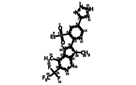 CCS(=O)(=O)c1cc(-c2nn[nH]n2)cnc1-c1nc2c(C)c(C(F)(F)C(F)(F)F)nnc2n1C